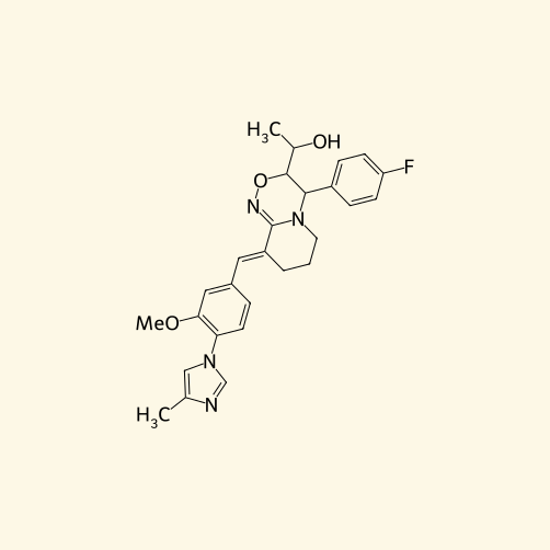 COc1cc(/C=C2\CCCN3C2=NOC(C(C)O)C3c2ccc(F)cc2)ccc1-n1cnc(C)c1